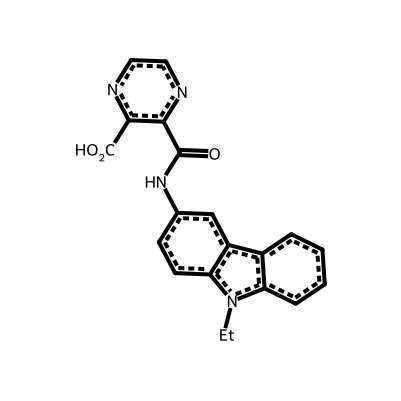 CCn1c2ccccc2c2cc(NC(=O)c3nccnc3C(=O)O)ccc21